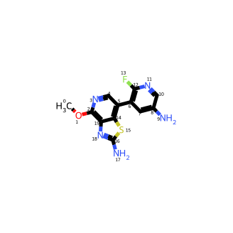 COc1ncc(-c2cc(N)cnc2F)c2sc(N)nc12